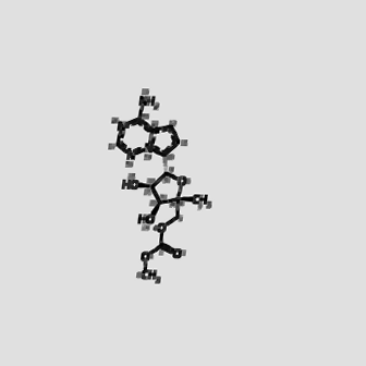 COC(=O)OC[C@@]1(C)O[C@@H](c2ccc3c(N)ncnn23)[C@H](O)[C@@H]1O